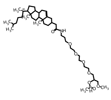 COCC(COCCOCCOCCOCCCNC(=O)CC1CCC2(C)C(=CCC3C2CCC2(C)C3CCC2[C@H](C)CCCC(C)C)C1)O[PH](C)=O